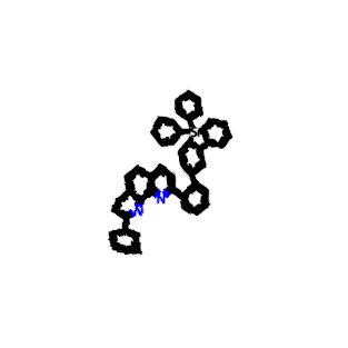 c1ccc(-c2ccc3ccc4ccc(-c5ccccc5-c5ccc6c(c5)-c5ccccc5[Si]6(c5ccccc5)c5ccccc5)nc4c3n2)cc1